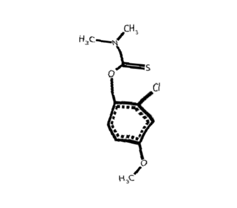 COc1ccc(OC(=S)N(C)C)c(Cl)c1